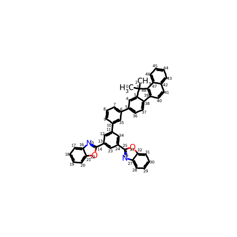 CC1(C)c2cc(-c3cccc(-c4cc(-c5nc6ccccc6o5)cc(-c5nc6ccccc6o5)c4)c3)ccc2-c2ccc3ccccc3c21